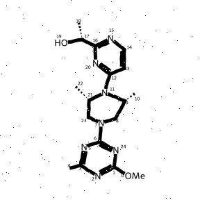 COc1nc(C)nc(N2C[C@@H](C)N(c3ccnc([C@@H](C)O)n3)[C@@H](C)C2)n1